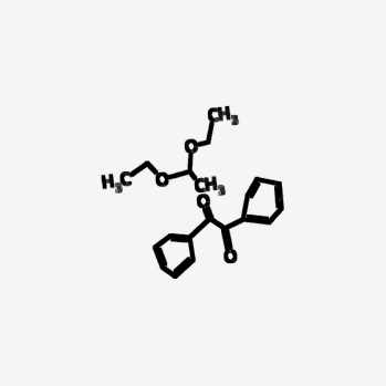 CCOC(C)OCC.O=C(C(=O)c1ccccc1)c1ccccc1